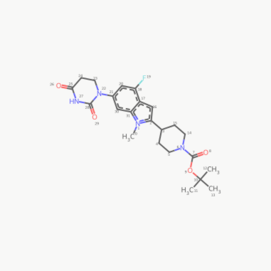 Cn1c(C2CCN(C(=O)OC(C)(C)C)CC2)cc2c(F)cc(N3CCC(=O)NC3=O)cc21